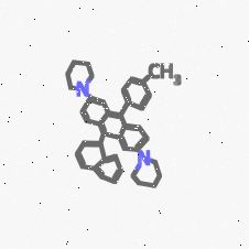 Cc1ccc(-c2c3cc(N4CCCCC4)ccc3c(-c3cccc4ccccc34)c3cc(N4CCCCC4)ccc23)cc1